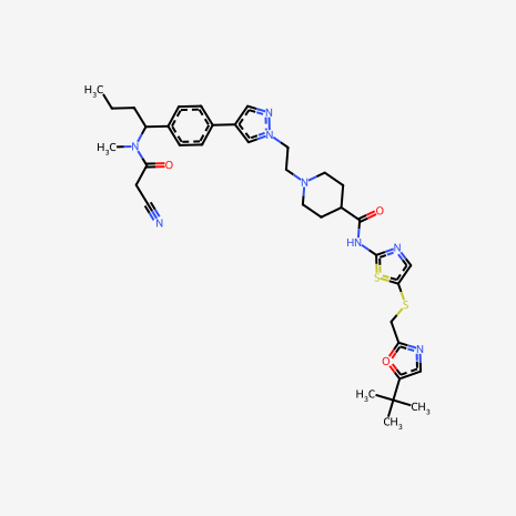 CCCC(c1ccc(-c2cnn(CCN3CCC(C(=O)Nc4ncc(SCc5ncc(C(C)(C)C)o5)s4)CC3)c2)cc1)N(C)C(=O)CC#N